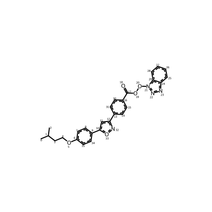 CC(C)CCOc1ccc(-c2cc(-c3ccc(C(=O)OOn4nnc5ccccc54)cc3)no2)cc1